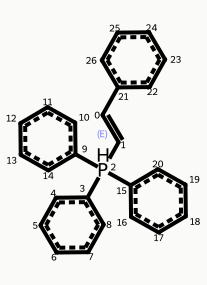 C(=C\[PH](c1ccccc1)(c1ccccc1)c1ccccc1)/c1ccccc1